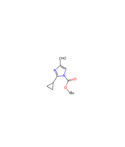 CC(C)(C)OC(=O)n1cc(C=O)nc1C1CC1